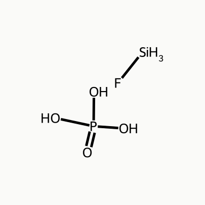 F[SiH3].O=P(O)(O)O